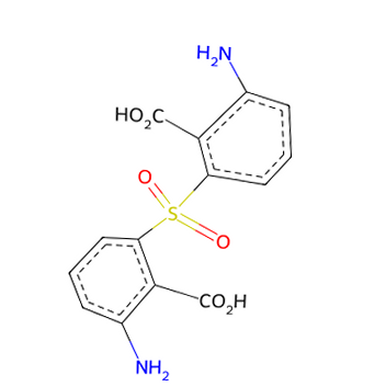 Nc1cccc(S(=O)(=O)c2cccc(N)c2C(=O)O)c1C(=O)O